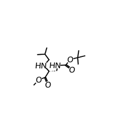 COC(=O)[C@@H](CNC(=O)OC(C)(C)C)NCC(C)C